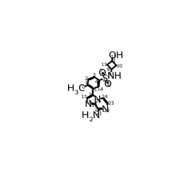 Cc1ccc(S(=O)(=O)NC2CC(O)C2)cc1-c1cnc2c(N)nccn12